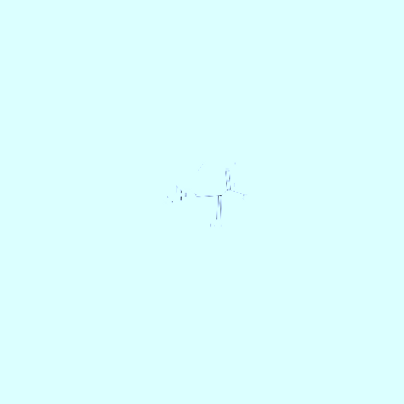 CO.N.N.O=C(O)C(=O)O